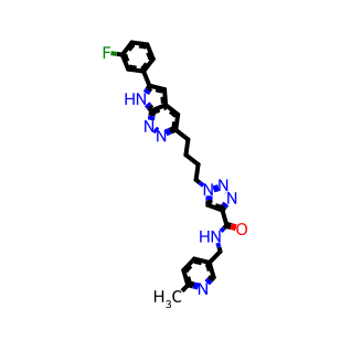 Cc1ccc(CNC(=O)c2cn(CCCCc3cc4cc(-c5cccc(F)c5)[nH]c4nn3)nn2)cn1